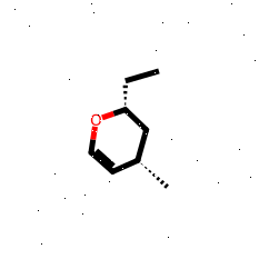 CC[C@@H]1C[C@H](C)C=CO1